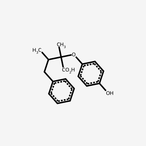 CC(Cc1ccccc1)C(C)(Oc1ccc(O)cc1)C(=O)O